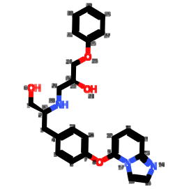 OC[C@H](Cc1ccc(Oc2cccc3nccn23)cc1)NC[C@H](O)COc1ccccc1